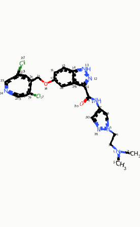 CN(C)CCn1cc(NC(=O)c2n[nH]c3ccc(OCc4c(Cl)cncc4Cl)cc23)cn1